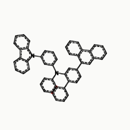 c1ccc(-c2ccc(-c3cc4ccccc4c4ccccc34)cc2N(c2ccccc2)c2cccc(-n3c4ccccc4c4ccccc43)c2)cc1